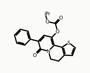 CC(C)OC(=O)Oc1cc(-c2ccccc2)c(=O)n2c1-c1sccc1CC2